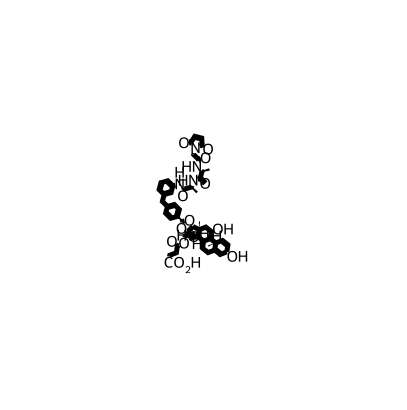 C[C@H](NC(=O)CN1C(=O)C=CC1=O)C(=O)N[C@@H](C)C(=O)Nc1cccc(Cc2ccc([C@@H]3O[C@@H]4C[C@H]5[C@@H]6CCC7=CC(O)C=C[C@]7(C)[C@H]6[C@@H](O)C[C@]5(C)[C@]4(C(=O)COC(=O)CCC(=O)O)O3)cc2)c1